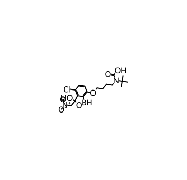 CC(C)(C)N(CCCCOc1ccc(Cl)c2c1BOC2(O)C[N+](=O)[O-])C(=O)O